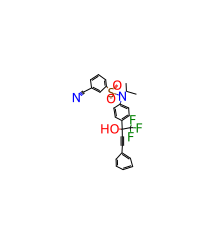 CC(C)N(c1ccc(C(O)(C#Cc2ccccc2)C(F)(F)F)cc1)S(=O)(=O)c1cccc(C#N)c1